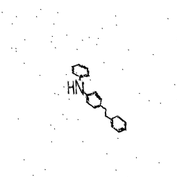 c1ccc(CCc2ccc(Nc3ccccc3)cc2)cc1